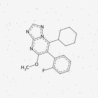 COc1nc2ncnn2c(C2CCCCC2)c1-c1ccccc1F